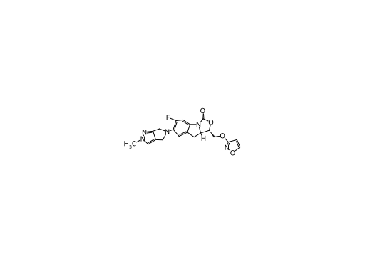 Cn1cc2c(n1)CN(c1cc3c(cc1F)N1C(=O)O[C@@H](COc4ccon4)[C@@H]1C3)C2